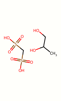 CC(O)CO.O=S(=O)(O)CS(=O)(=O)O